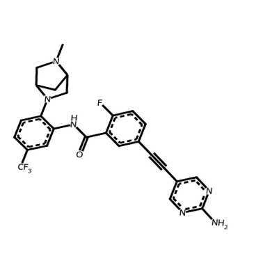 CN1CC2CC1CN2c1ccc(C(F)(F)F)cc1NC(=O)c1cc(C#Cc2cnc(N)nc2)ccc1F